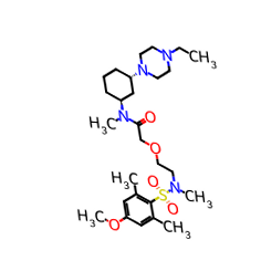 CCN1CCN([C@H]2CCC[C@H](N(C)C(=O)COCCN(C)S(=O)(=O)c3c(C)cc(OC)cc3C)C2)CC1